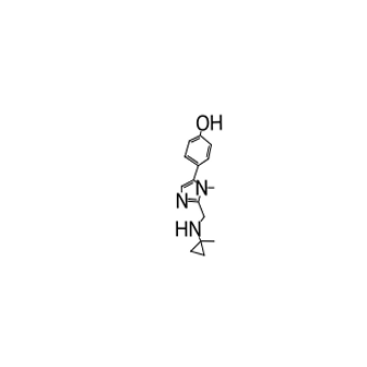 Cn1c(-c2ccc(O)cc2)cnc1CNC1(C)CC1